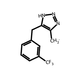 [CH2]c1nn[nH]c1Cc1cccc(C(F)(F)F)c1